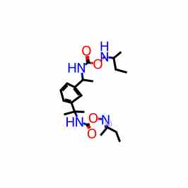 CC/C(C)=N/OC(=O)NC(C)(C)c1cccc(C(C)NC(=O)ONC(C)CC)c1